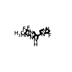 CC(Nc1ncc2c(-c3ccn4ncc(F)c4n3)c[nH]c2n1)C(F)(F)F